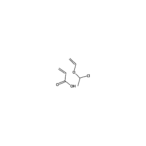 C=CC(=O)O.C=COC(C)Cl